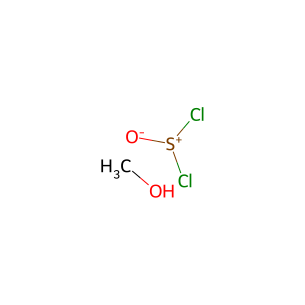 CO.[O-][S+](Cl)Cl